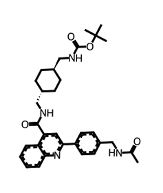 CC(=O)NCc1ccc(-c2cc(C(=O)NC[C@H]3CC[C@H](CNC(=O)OC(C)(C)C)CC3)c3ccccc3n2)cc1